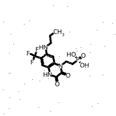 CCCNc1cc2c(cc1C(F)(F)F)[nH]c(=O)c(=O)n2CCP(=O)(O)O